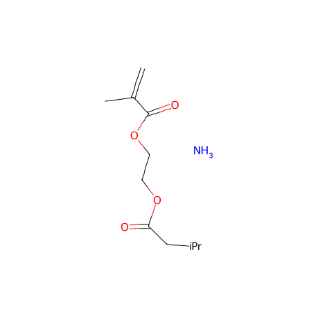 C=C(C)C(=O)OCCOC(=O)CC(C)C.N